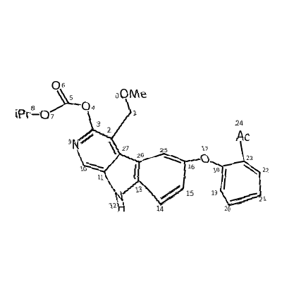 COCc1c(OC(=O)OC(C)C)ncc2[nH]c3ccc(Oc4ccccc4C(C)=O)cc3c12